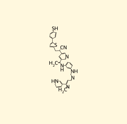 C=N/C(=C\C=N/CNc1cccc(NC(=C)c2cncc(C(C#N)Cc3ccc(-c4ccc(S)cc4)s3)c2)c1)C1=CNCC=C1